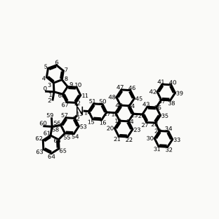 CC1(C)c2ccccc2-c2ccc(N(c3ccc(-c4c5ccccc5c(-c5cc(-c6ccccc6)cc(-c6ccccc6)c5)c5ccccc45)cc3)c3ccc4c(c3)C(C)(C)c3ccccc3-4)cc21